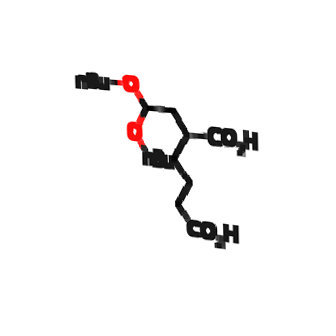 CCCCOC(CC(CCCC(=O)O)C(=O)O)OCCCC